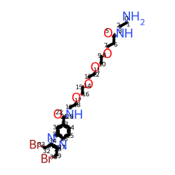 NCCNC(=O)CCOCCOCCOCCOCCNC(=O)c1ccc2nc(CBr)c(CBr)nc2c1